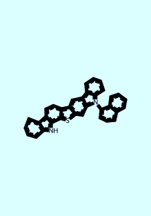 c1ccc2c(-n3c4ccccc4c4cc5c(cc43)sc3c5ccc4c5ccccc5[nH]c43)cccc2c1